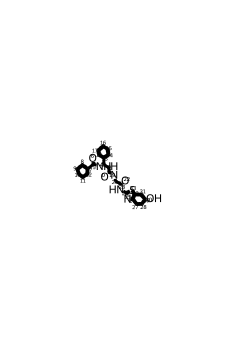 O=C(CC(NC(=O)c1ccccc1)c1ccccc1)NCC(=O)Nc1nc2ccc(O)cc2s1